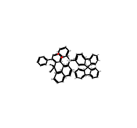 CC1(C)c2c(-c3ccccc3)cccc2-c2c(N(c3ccccc3)c3ccc4c(c3)C3(c5ccccc5-c5ccccc53)c3ccccc3-4)ccc3cccc1c23